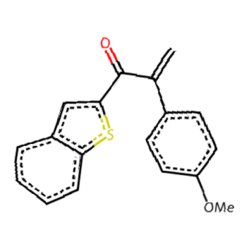 C=C(C(=O)c1cc2ccccc2s1)c1ccc(OC)cc1